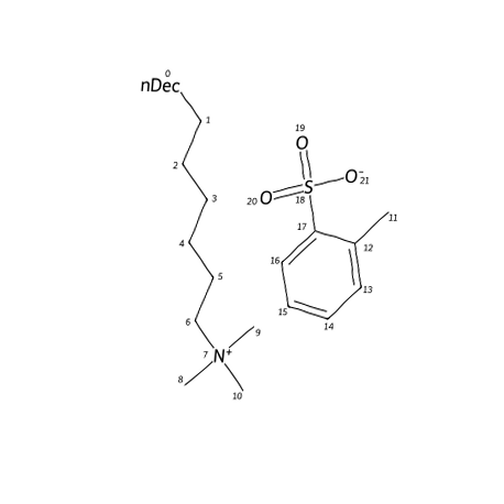 CCCCCCCCCCCCCCCC[N+](C)(C)C.Cc1ccccc1S(=O)(=O)[O-]